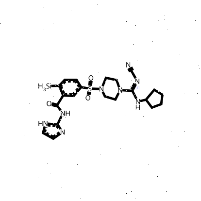 N#C/N=C(/NC1CCCC1)N1CCN(S(=O)(=O)c2ccc([SiH3])c(C(=O)Nc3ncc[nH]3)c2)CC1